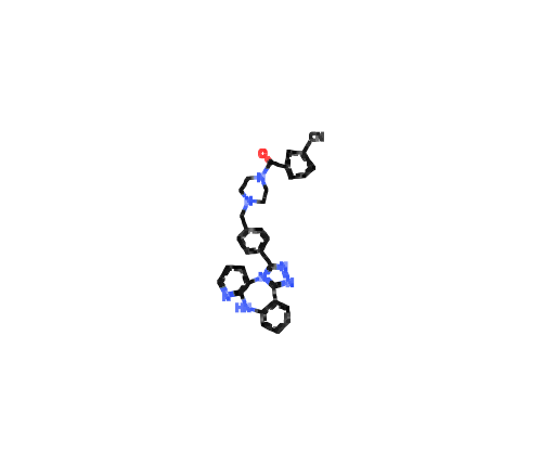 N#Cc1cccc(C(=O)N2CCN(Cc3ccc(-c4nnc5n4-c4cccnc4Nc4ccccc4-5)cc3)CC2)c1